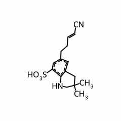 CC1(C)CNc2c(cc(CC/C=C/C#N)cc2S(=O)(=O)O)C1